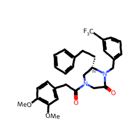 COc1ccc(CC(=O)N2CC(=O)N(Cc3cccc(C(F)(F)F)c3)[C@@H](CCc3ccccc3)C2)cc1OC